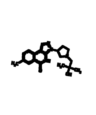 Cc1ccc2c(c1)c(=O)[nH]c1c2cnn1C1CCN(CC(C)(C)O)C1